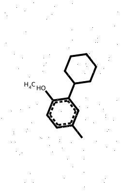 C.Cc1ccc(O)c(C2CCCCC2)c1